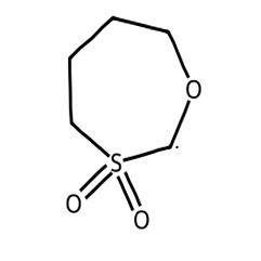 O=S1(=O)[CH]OCCCC1